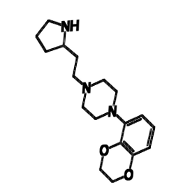 c1cc2c(c(N3CCN(CCC4CCCN4)CC3)c1)OCCO2